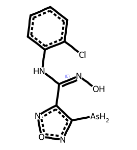 O/N=C(/Nc1ccccc1Cl)c1nonc1[AsH2]